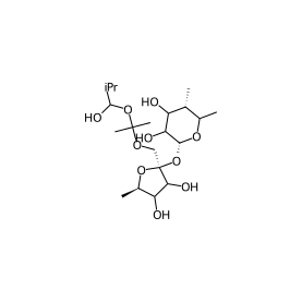 CC(C)C(O)OC(C)(C)OC[C@@]1(O[C@H]2OC(C)[C@@H](C)C(O)C2O)O[C@H](C)C(O)C1O